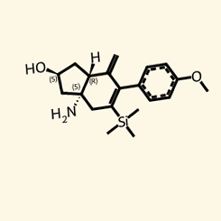 C=C1C(c2ccc(OC)cc2)=C([Si](C)(C)C)C[C@@]2(N)C[C@@H](O)C[C@H]12